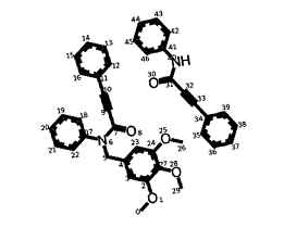 COc1cc(CN(C(=O)C#Cc2ccccc2)c2ccccc2)cc(OC)c1OC.O=C(C#Cc1ccccc1)Nc1ccccc1